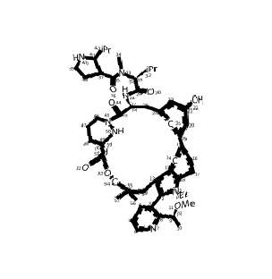 CCn1c(-c2cccnc2[C@H](C)OC)c2c3cc(ccc31)-c1cc(O)cc(c1)C[C@H](NC(=O)[C@H](C(C)C)N(C)C(=O)C1CCNC1C(C)C)C(=O)N1CCC[C@H](N1)C(=O)OCC(C)(C)C2